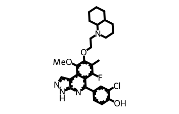 COc1c(OCCN2CCCC3CCCCC32)c(C)c(F)c2c(-c3ccc(O)c(Cl)c3)nc3[nH]ncc3c12